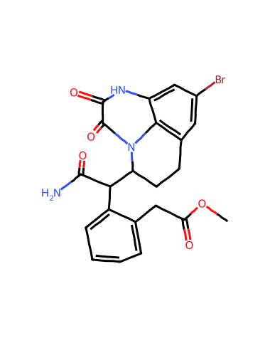 COC(=O)Cc1ccccc1C(C(N)=O)C1CCc2cc(Br)cc3[nH]c(=O)c(=O)n1c23